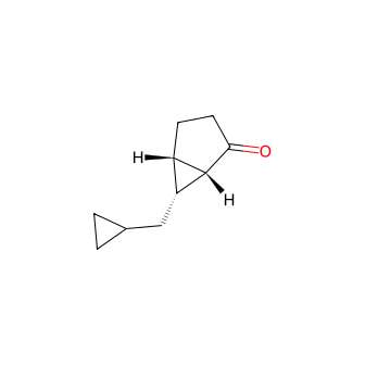 O=C1CC[C@H]2[C@@H](CC3CC3)[C@@H]12